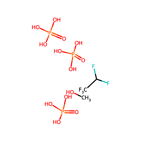 CO.FC(F)C(F)(F)F.O=P(O)(O)O.O=P(O)(O)O.O=P(O)(O)O